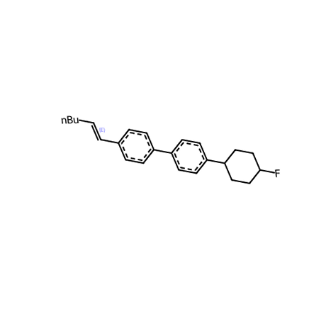 CCCC/C=C/c1ccc(-c2ccc(C3CCC(F)CC3)cc2)cc1